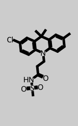 Cc1ccc2c(c1)C(C)(C)c1cc(Cl)ccc1N2CCC(=O)NS(C)(=O)=O